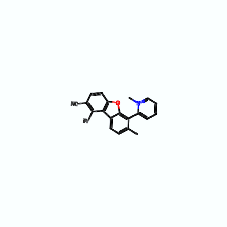 Cc1ccc2c(oc3ccc(C#N)c(C(C)C)c32)c1-c1cccc[n+]1C